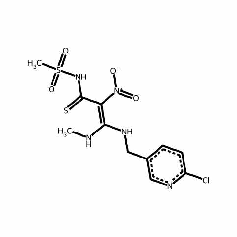 CNC(NCc1ccc(Cl)nc1)=C(C(=S)NS(C)(=O)=O)[N+](=O)[O-]